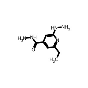 CCc1cc(C(=O)NN)cc(NN)n1